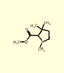 COC(=O)C1N(C)CCC1(C)C